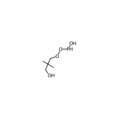 CC(C)(CO)COOPO